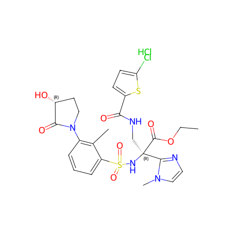 CCOC(=O)[C@](CNC(=O)c1ccc(Cl)s1)(NS(=O)(=O)c1cccc(N2CC[C@@H](O)C2=O)c1C)c1nccn1C.Cl